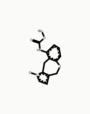 CC(C)(C)OC(=O)Nc1cccc2c1Cc1c(cc[s+]1[O-])CS2